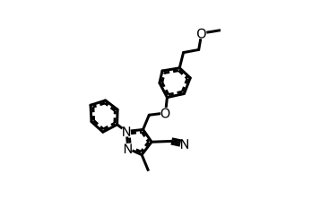 COCCc1ccc(OCc2c(C#N)c(C)nn2-c2ccccc2)cc1